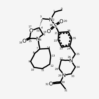 CCN(C[C@@H]1CN(C2CCCCCCC2)C(=O)O1)S(=O)(=O)c1ccc(CN2CCN(C(C)=O)CC2)cc1